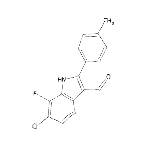 Cc1ccc(-c2[nH]c3c(F)c(Cl)ccc3c2C=O)cc1